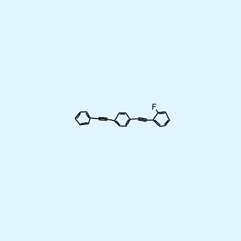 Fc1ccccc1C#Cc1ccc(C#Cc2ccccc2)cc1